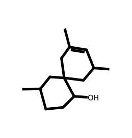 CC1=CC(C)CC2(C1)CC(C)CCC2O